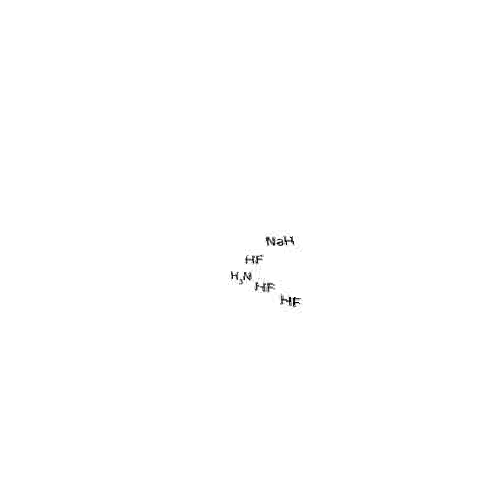 F.F.F.N.[NaH]